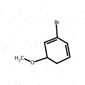 COC1C=C(Br)C=CC1